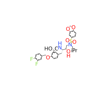 CC(C)CN(C[C@@H](O)[C@H](Cc1ccc(OCc2ccc(F)c(F)c2)cc1)NC(=O)O)S(=O)(=O)c1ccc2c(c1)OCO2